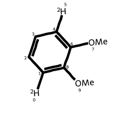 [2H]c1ccc([2H])c(OC)c1OC